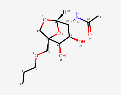 CCCOC[C@@]12CO[C@@H](O1)[C@H](NC(C)=O)[C@@H](O)[C@H]2O